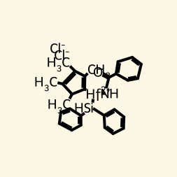 CC1=C(C)C(C)[C]([Hf+2]([NH]C(=O)c2ccccc2)[SiH](c2ccccc2)c2ccccc2)=C1C.[Cl-].[Cl-]